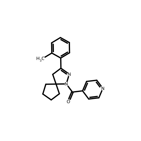 Cc1ccccc1C1=NN(C(=O)c2ccncc2)C2(CCCC2)C1